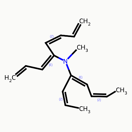 C=C/C=C\C(=C/C=C)N(C)C(/C=C\C)=C/C=C\C